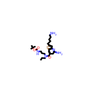 CCCN(CCCNC(=O)OC(C)(C)C)C(=O)C1=Cc2sc(CCCCCN)cc2N=C(N)C1